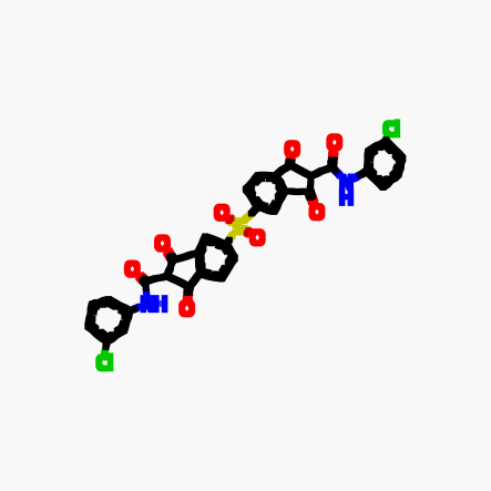 O=C(Nc1cccc(Cl)c1)C1C(=O)c2ccc(S(=O)(=O)c3ccc4c(c3)C(=O)C(C(=O)Nc3cccc(Cl)c3)C4=O)cc2C1=O